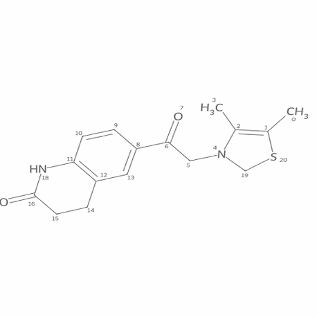 CC1=C(C)N(CC(=O)c2ccc3c(c2)CCC(=O)N3)CS1